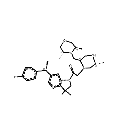 C[C@H](c1ccc(F)cc1)c1cnc2c(c1)N(C(=O)CN1C[C@@H](C)NC[C@@H]1CN1[C@H](C)COC[C@H]1C)CC2(C)C